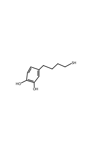 Oc1ccc(CCCCS)cc1O